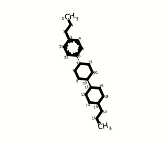 CCCc1ccc([C@H]2CC[C@H](C3CCC(CCC)CC3)CC2)cc1